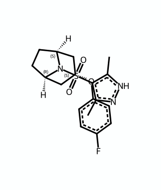 Cc1n[nH]c(C)c1S(=O)(=O)N1[C@@H]2CC[C@H]1C[C@H](Oc1ccc(F)cc1)C2